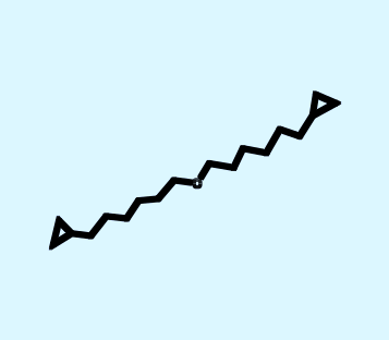 C(CCCC1CC1)CCOCCCCCCC1CC1